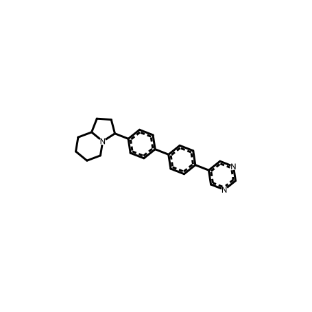 c1ncc(-c2ccc(-c3ccc(C4CCC5CCCCN54)cc3)cc2)cn1